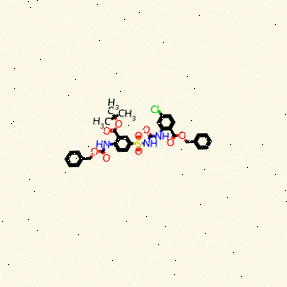 CC(C)(C)OC(=O)c1cc(S(=O)(=O)NC(=O)Nc2cc(Cl)ccc2C(=O)OCc2ccccc2)ccc1NC(=O)OCc1ccccc1